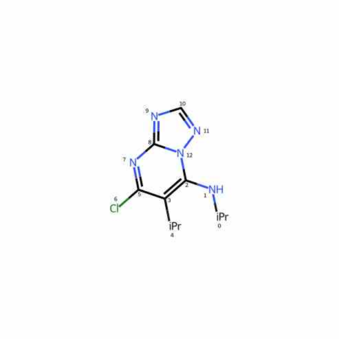 CC(C)Nc1c(C(C)C)c(Cl)nc2ncnn12